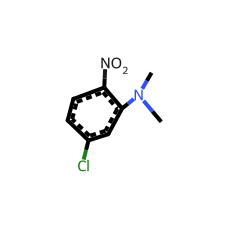 CN(C)c1cc(Cl)ccc1[N+](=O)[O-]